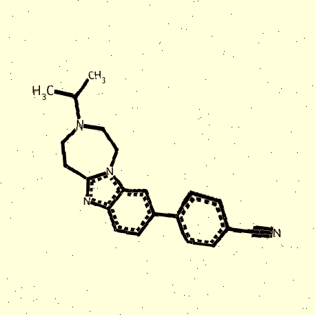 CC(C)N1CCc2nc3ccc(-c4ccc(C#N)cc4)cc3n2CC1